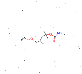 C=CCOCC(C)CC(C)(C)OC(N)=O